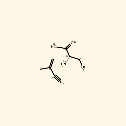 C=C(C)C#N.N[C@@H](CO)C(=O)O